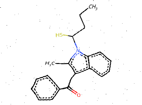 CCCC(S)n1c(C)c(C(=O)c2ccccc2)c2ccccc21